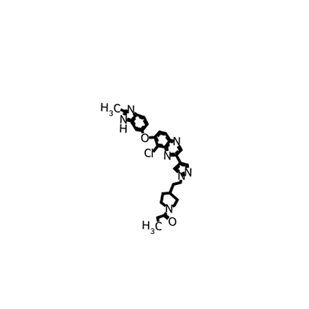 CCC(=O)N1CCC(CCn2cc(-c3cnc4ccc(Oc5ccc6nc(C)[nH]c6c5)c(Cl)c4n3)cn2)CC1